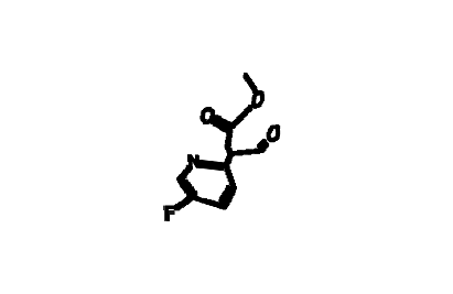 COC(=O)C(C=O)c1ccc(F)cn1